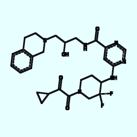 O=C(NCC(O)CN1CCc2ccccc2C1)c1cc(NC2CCN(C(=O)C(=O)C3CC3)CC2(F)F)ncn1